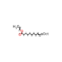 CC=COC(=O)CCCCCCCC=CCCCCCCCC